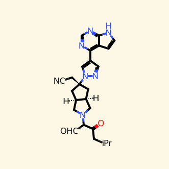 CC(C)CC(=O)C(C=O)N1C[C@@H]2C[C@@](CC#N)(n3cc(-c4ncnc5[nH]ccc45)cn3)C[C@@H]2C1